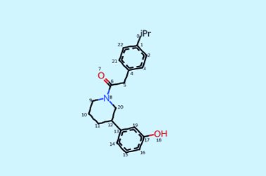 CC(C)c1ccc(CC(=O)N2CCCC(c3cccc(O)c3)C2)cc1